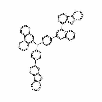 c1ccc2c(-c3cccc4c3oc3ccccc34)cc(-c3ccc(N(c4ccc(-c5ccc6c(c5)oc5ccccc56)cc4)c4cc5ccccc5c5ccccc45)cc3)cc2c1